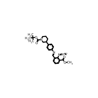 COC(=O)c1cccc(/C=N/c2ccc(C3CCCN(C(=O)OC(C)(C)C)C3)cc2)c1N=[N+]=[N-]